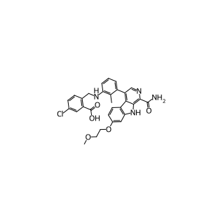 COCCOc1ccc2c(c1)[nH]c1c(C(N)=O)ncc(-c3cccc(NCc4ccc(Cl)cc4C(=O)O)c3C)c12